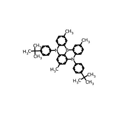 Cc1ccc2c(c1)B1c3cc(C)ccc3N(c3ccc(C(C)(C)C)cc3)c3cc(C)cc(c31)N2c1ccc(C(C)(C)C)cc1